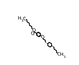 CCCCCCCOC(=O)c1ccc(OCCC[C@H]2CC[C@H](CCCCC)CC2)cc1